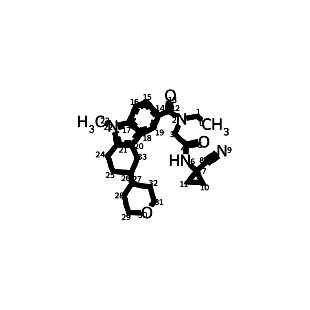 CCN(CC(=O)NC1(C#N)CC1)C(=O)c1ccc2c(c1)c1c(n2C)CCC(C2CCOCC2)C1